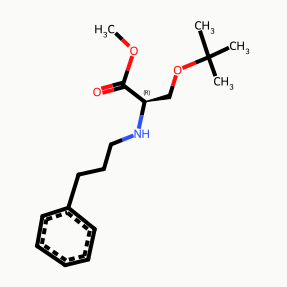 COC(=O)[C@@H](COC(C)(C)C)NCCCc1ccccc1